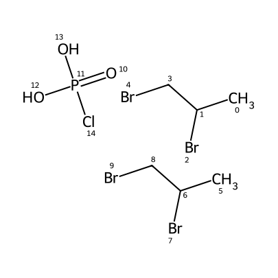 CC(Br)CBr.CC(Br)CBr.O=P(O)(O)Cl